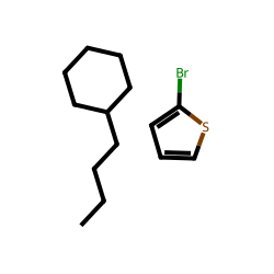 Brc1cccs1.CCCCC1CCCCC1